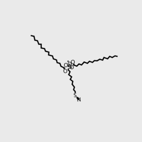 CCCCCCCCCCCCCCCCCC(=O)O[Si](CCCCCCCCCCSC#N)(OC)OC(=O)CCCCCCCCCCCCCCCCC